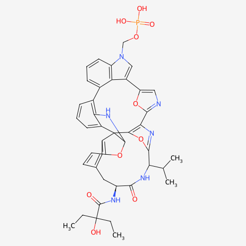 CCC(O)(CC)C(=O)N[C@H]1Cc2ccc3c(c2)C24c5cccc(c5NC2O3)-c2cccc3c2c(cn3COP(=O)(O)O)-c2cnc(o2)-c2nc(oc24)C(C(C)C)NC1=O